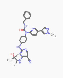 CC(Nc1nc(NC2CCC(N(C(=O)NCc3ccccc3)c3ccc(-c4cnn(C)c4)cn3)CC2)ncc1C#N)C(C)(C)O